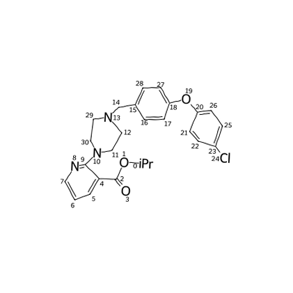 CC(C)OC(=O)c1cccnc1N1CCN(Cc2ccc(Oc3ccc(Cl)cc3)cc2)CC1